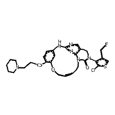 O=C1N2C/C=C\COc3cc(ccc3OCCN3CCCCC3)Nc3ncc(c2n3)CN1c1c(CF)csc1Cl